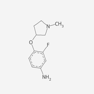 CN1CCC(Oc2ccc(N)cc2F)C1